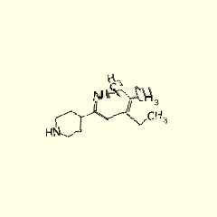 CCC(CC(=N)C1CCNCC1)=C(C)C